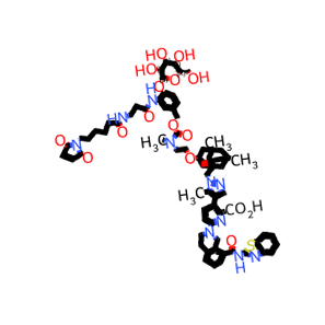 Cc1c(-c2ccc(N3CCc4cccc(C(=O)Nc5nc6ccccc6s5)c4C3)nc2C(=O)O)cnn1CC12CC3(C)CC(C)(C1)CC(OCCN(C)C(=O)OCc1ccc(O[C@@H]4O[C@H](CO)[C@H](O)[C@H](O)[C@@H]4O)c(NC(=O)CCNC(=O)CCCCCN4C(=O)C=CC4=O)c1)(C3)C2